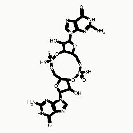 Nc1nc2c(ncn2C2OC3COP(=S)(S)OC4C(COP(=O)(S)OC3C2O)OC(n2cnc3c(=O)[nH]c(N)nc32)C4O)c(=O)[nH]1